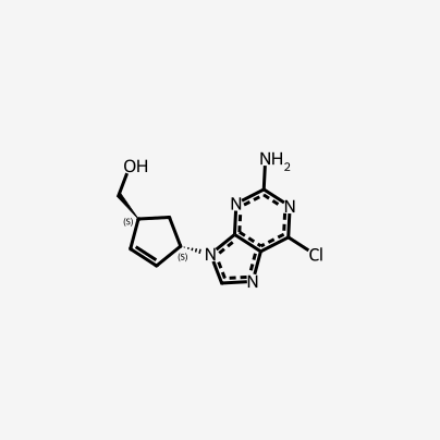 Nc1nc(Cl)c2ncn([C@@H]3C=C[C@@H](CO)C3)c2n1